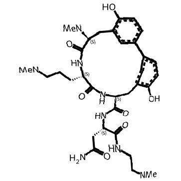 CNCCC[C@@H]1NC(=O)[C@@H](NC)Cc2cc(ccc2O)-c2ccc(O)c(c2)C[C@@H](C(=O)N[C@@H](CC(N)=O)C(=O)NCCNC)NC1=O